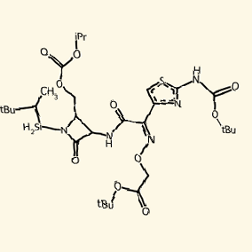 CC(C)OC(=O)OCC1C(NC(=O)C(=NOCC(=O)OC(C)(C)C)c2csc(NC(=O)OC(C)(C)C)n2)C(=O)N1[SiH2]C(C)C(C)(C)C